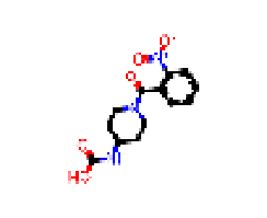 O=C(O)NC1CCN(C(=O)c2ccccc2[N+](=O)[O-])CC1